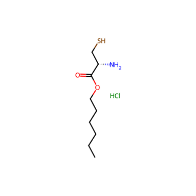 CCCCCCOC(=O)[C@@H](N)CS.Cl